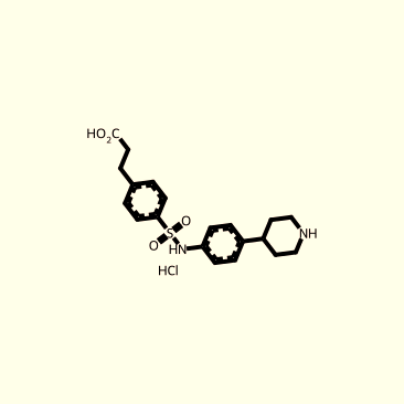 Cl.O=C(O)CCc1ccc(S(=O)(=O)Nc2ccc(C3CCNCC3)cc2)cc1